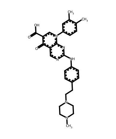 Cc1ccc(-n2cc(C(=O)O)c(=O)c3cnc(Nc4ccc(CCN5CCN(C)CC5)cc4)nc32)cc1C